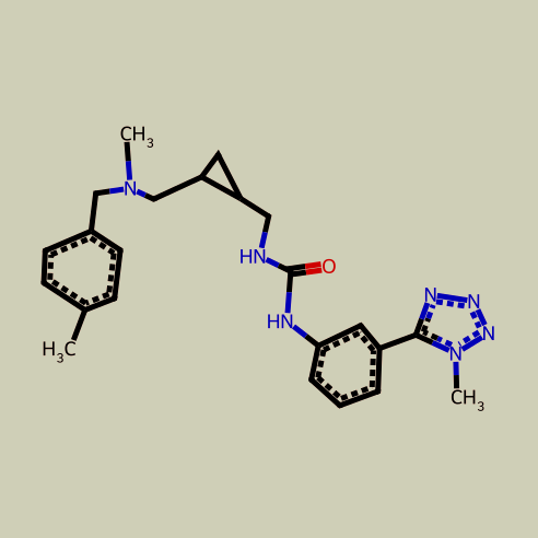 Cc1ccc(CN(C)CC2CC2CNC(=O)Nc2cccc(-c3nnnn3C)c2)cc1